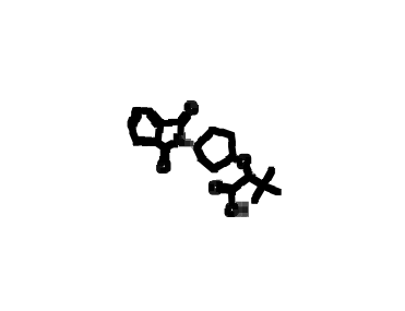 CC(C)(C)C(O[C@H]1CC[C@H](N2C(=O)c3ccccc3C2=O)CC1)C(=O)O